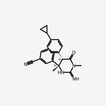 CN1C(=N)N[C@](C)(c2cccc(C#N)c2)[C@H](c2ccc(C3CC3)cc2)C1=O